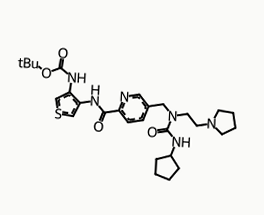 CC(C)(C)OC(=O)Nc1cscc1NC(=O)c1ccc(CN(CCN2CCCC2)C(=O)NC2CCCC2)cn1